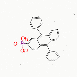 O=P(O)(O)c1ccc2c(-c3ccccc3)c3ccccc3c(-c3ccccc3)c2c1